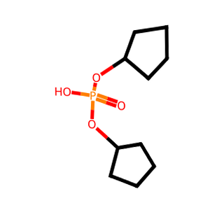 O=P(O)(OC1CCCC1)OC1CCCC1